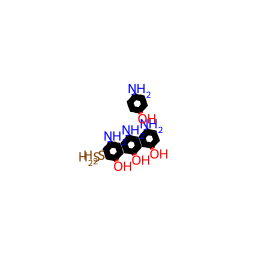 Nc1ccc(O)cc1.Nc1ccc(O)cc1.Nc1ccc(O)cc1.Nc1ccc(O)cc1.S.S